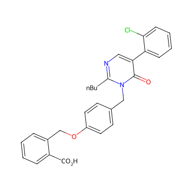 CCCCc1ncc(-c2ccccc2Cl)c(=O)n1Cc1ccc(OCc2ccccc2C(=O)O)cc1